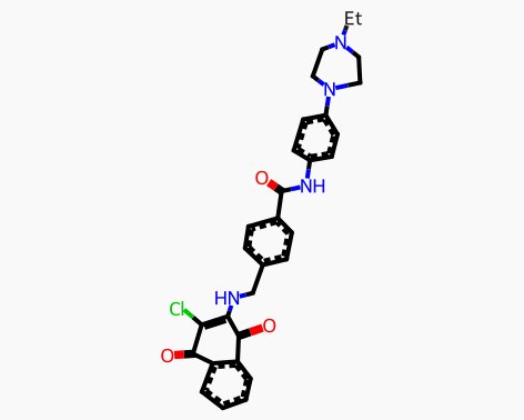 CCN1CCN(c2ccc(NC(=O)c3ccc(CNC4=C(Cl)C(=O)c5ccccc5C4=O)cc3)cc2)CC1